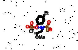 CCc1ccc(OS(=O)(=O)C(F)(F)F)cc1.COCCN[SH](=O)=O